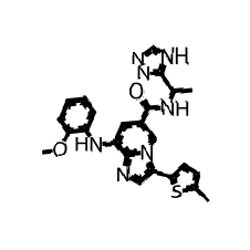 COc1ccccc1Nc1cc(C(=O)NC(C)c2nnc[nH]2)cn2c(-c3ccc(C)s3)cnc12